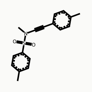 Cc1ccc(C#CN(C)S(=O)(=O)c2ccc(C)cc2)cc1